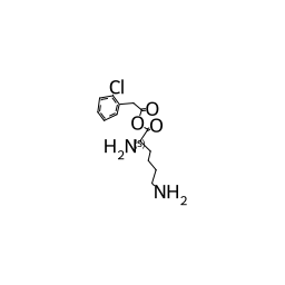 NCCCC[C@H](N)C(=O)OC(=O)Cc1ccccc1Cl